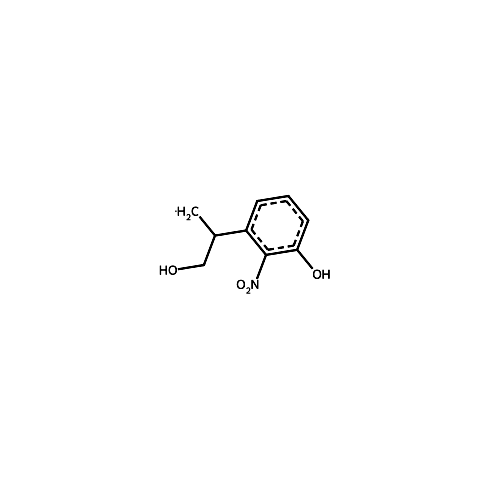 [CH2]C(CO)c1cccc(O)c1[N+](=O)[O-]